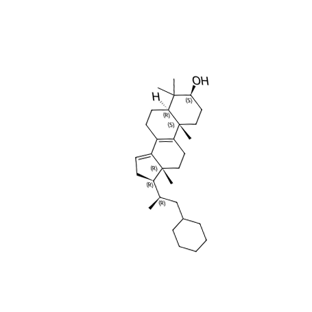 C[C@H](CC1CCCCC1)[C@H]1CC=C2C3=C(CC[C@@]21C)[C@@]1(C)CC[C@H](O)C(C)(C)[C@@H]1CC3